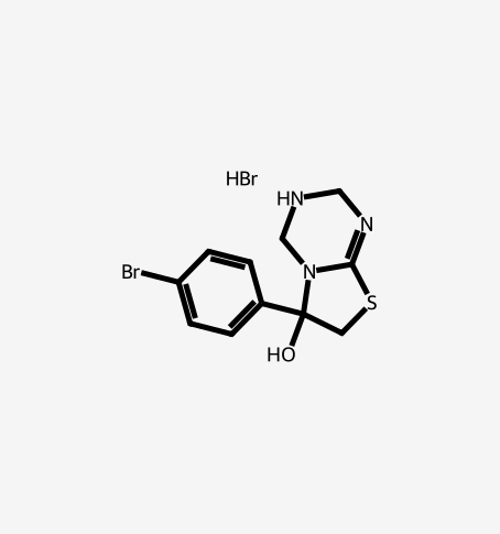 Br.OC1(c2ccc(Br)cc2)CSC2=NCNCN21